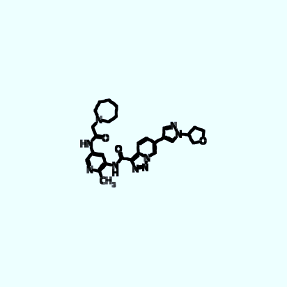 Cc1ncc(NC(=O)CN2CCCCCC2)cc1NC(=O)c1nnn2cc(-c3cnn(C4CCOC4)c3)ccc12